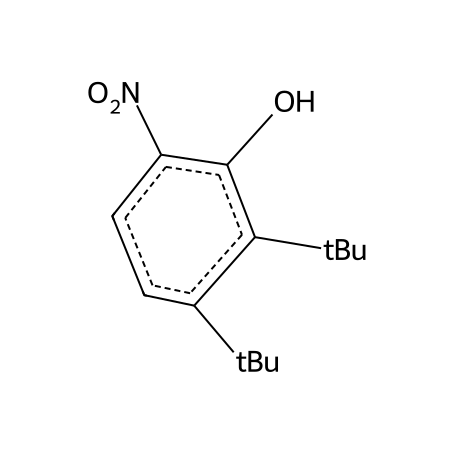 CC(C)(C)c1ccc([N+](=O)[O-])c(O)c1C(C)(C)C